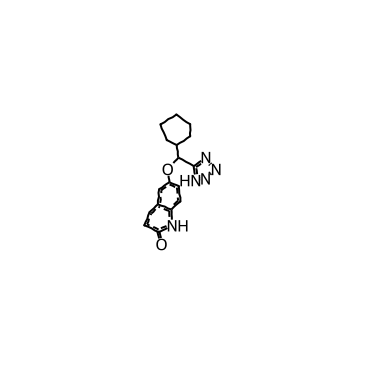 O=c1ccc2cc(OC(c3nnn[nH]3)C3CCCCC3)ccc2[nH]1